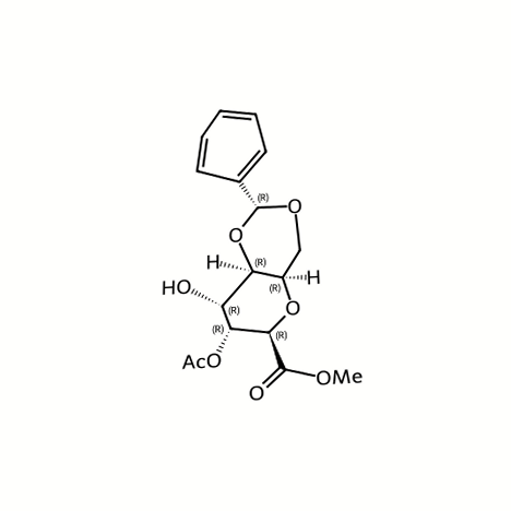 COC(=O)[C@@H]1O[C@@H]2CO[C@@H](c3ccccc3)O[C@@H]2[C@@H](O)[C@H]1OC(C)=O